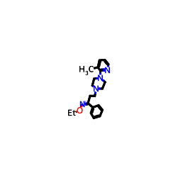 CCO/N=C(/CCN1CCN(c2ncccc2C)CC1)c1ccccc1